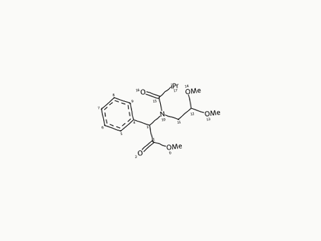 COC(=O)C(c1ccccc1)N(CC(OC)OC)C(=O)C(C)C